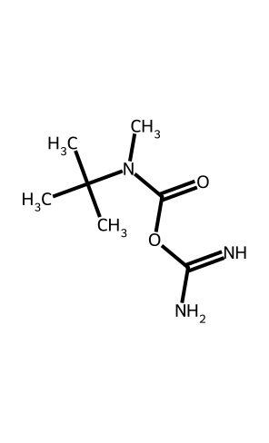 CN(C(=O)OC(=N)N)C(C)(C)C